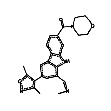 C/N=C\c1cc(-c2c(C)noc2C)cc2c1[nH]c1cc(C(=O)N3CCOCC3)ccc12